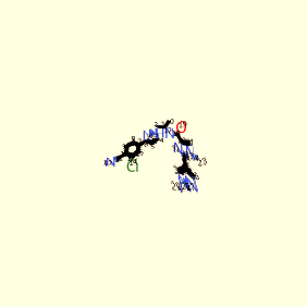 CC(Cn1ccc(-c2ccc(C#N)c(Cl)c2)n1)NC(=O)c1cn(C)c(-c2cnn(C)c2)n1